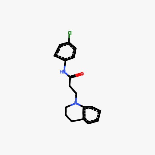 O=C(CCN1CCCc2ccccc21)Nc1ccc(Cl)cc1